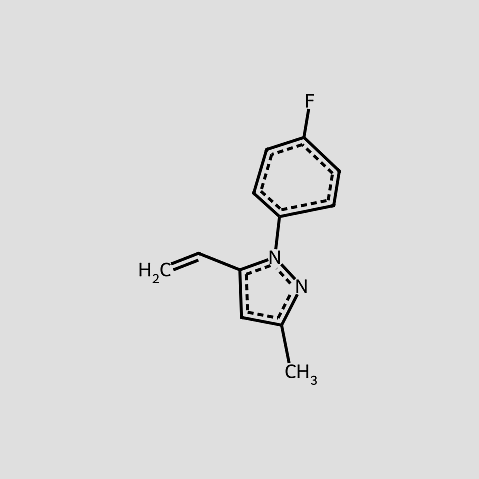 C=Cc1cc(C)nn1-c1ccc(F)cc1